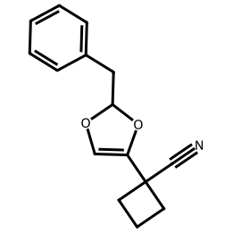 N#CC1(C2=COC(Cc3ccccc3)O2)CCC1